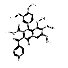 COC(=O)c1c(C(=O)c2ccc(Cl)cc2)c(O)c2cc(OC)c(OC)c(OC)c2c1-c1ccc(OC)c(OC)c1